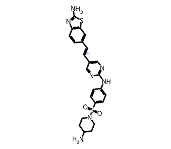 Nc1nc2ccc(/C=C/c3cnc(Nc4ccc(S(=O)(=O)N5CCC(N)CC5)cc4)nc3)cc2s1